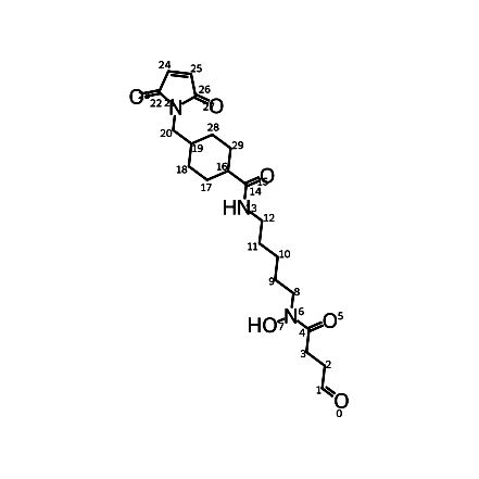 O=CCCC(=O)N(O)CCCCCNC(=O)C1CCC(CN2C(=O)C=CC2=O)CC1